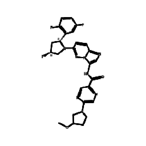 COC1CCN(c2cnc(C(=O)Nc3cnc4ccc(N5C[C@@H](F)C[C@@H]5c5cc(F)ccc5F)nn34)cn2)C1